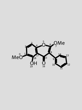 COc1ccc2oc(OC)c(-c3ccccc3)c(=O)c2c1O